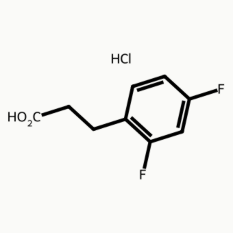 Cl.O=C(O)CCc1ccc(F)cc1F